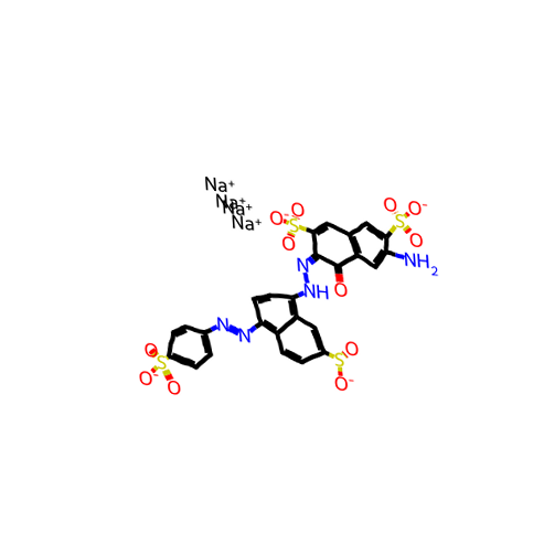 Nc1cc2c(cc1S(=O)(=O)[O-])C=C(S(=O)(=O)[O-])/C(=N/Nc1ccc(N=Nc3ccc(S(=O)(=O)[O-])cc3)c3ccc(S(=O)[O-])cc13)C2=O.[Na+].[Na+].[Na+].[Na+]